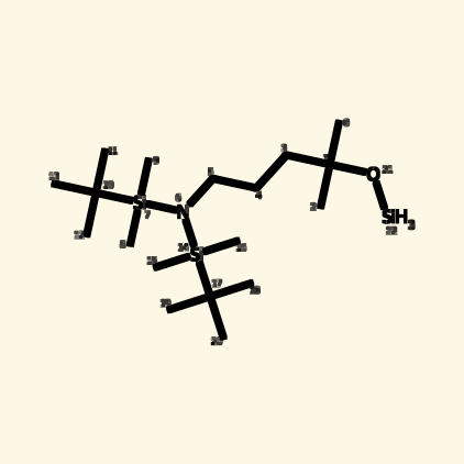 CC(C)(CCCN([Si](C)(C)C(C)(C)C)[Si](C)(C)C(C)(C)C)O[SiH3]